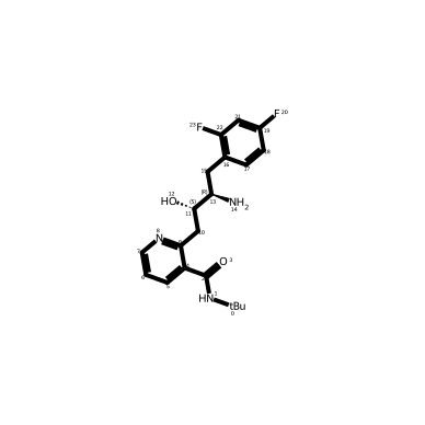 CC(C)(C)NC(=O)c1cccnc1C[C@H](O)[C@H](N)Cc1ccc(F)cc1F